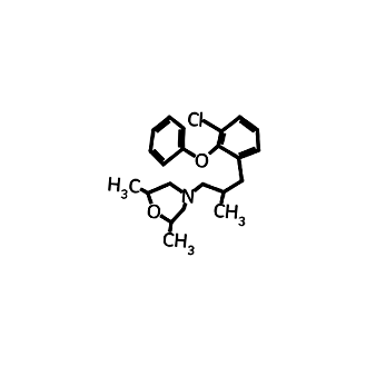 CC(Cc1cccc(Cl)c1Oc1ccccc1)CN1CC(C)OC(C)C1